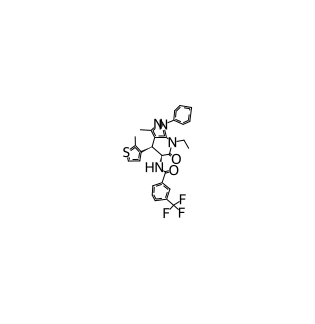 CCN1C(=O)[C@@H](NC(=O)c2cccc(C(F)(F)F)c2)[C@@H](c2ccsc2C)c2c(C)nn(-c3ccccc3)c21